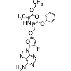 CCOC(=O)[C@H](C)N[P@@](COc1ccccc1)CO[C@@H]1C=C(F)C(n2cnc3c(N)ncnc32)O1